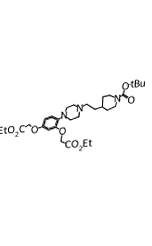 CCOC(=O)COc1ccc(N2CCN(CCC3CCN(C(=O)OC(C)(C)C)CC3)CC2)c(OCC(=O)OCC)c1